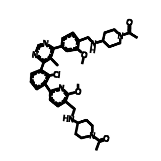 COc1cc(-c2ncnc(-c3cccc(-c4ccc(CNC5CCN(C(C)=O)CC5)c(OC)n4)c3Cl)c2C)ccc1CNC1CCN(C(C)=O)CC1